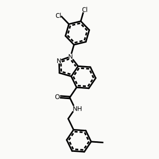 Cc1cccc(CNC(=O)c2cccc3c2cnn3-c2ccc(Cl)c(Cl)c2)c1